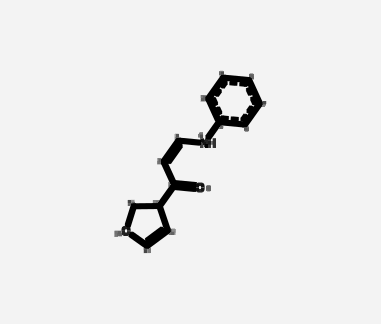 O=C(/C=C\Nc1ccccc1)C1C=COC1